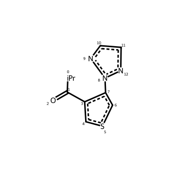 CC(C)C(=O)c1cscc1-n1nccn1